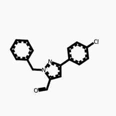 O=Cc1cc(-c2ccc(Cl)cc2)nn1Cc1ccccc1